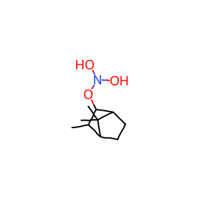 CC1C(ON(O)O)C2CCC1C2(C)C